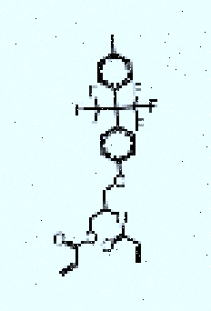 C=CC(=O)OCC(COc1ccc(C(c2ccc(C)cc2)(C(F)(F)F)C(F)(F)F)cc1)OC(=O)C=C